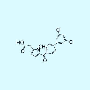 Cn1c(CC(=O)O)ccc1C(=O)c1ccc(-c2cc(Cl)cc(Cl)c2)cc1